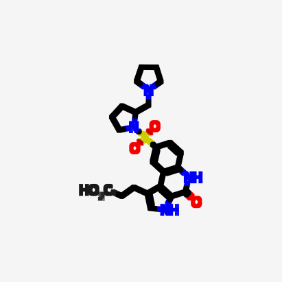 O=C(O)CCc1c[nH]c2c(=O)[nH]c3ccc(S(=O)(=O)N4CCCC4CN4CCCC4)cc3c12